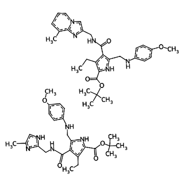 CCc1c(C(=O)OC(C)(C)C)[nH]c(CNc2ccc(OC)cc2)c1C(=O)NCc1cn2cccc(C)c2n1.CCc1c(C(=O)OC(C)(C)C)[nH]c(CNc2ccc(OC)cc2)c1C(=O)NCc1nc(C)c[nH]1